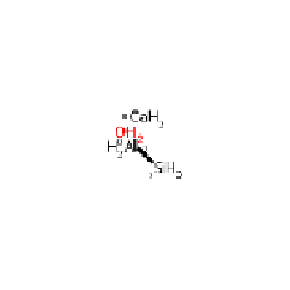 O.[AlH2][SiH3].[CaH2]